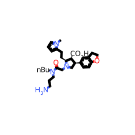 CCCCN(CCCN)C(=O)CN1C[C@H](c2ccc3c(c2)CCO3)[C@@H](C(=O)O)[C@@H]1CCc1cccn1C